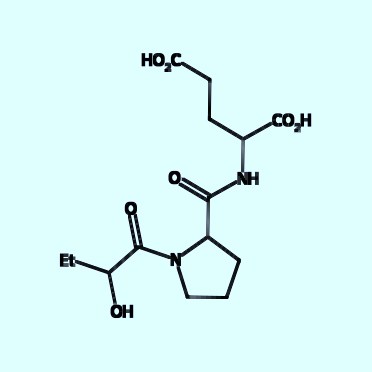 CCC(O)C(=O)N1CCCC1C(=O)NC(CCC(=O)O)C(=O)O